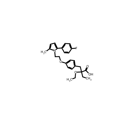 CCOC(CC)(Cc1ccc(OCCn2c(C)ccc2-c2ccc(F)cc2)cc1)C(=O)O